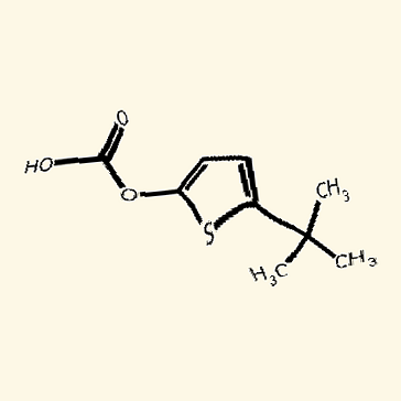 CC(C)(C)c1ccc(OC(=O)O)s1